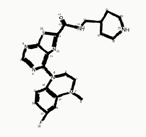 CN1CCN(c2ncnc3sc(C(=O)NCC4CCNCC4)nc23)c2ccc(F)cc21